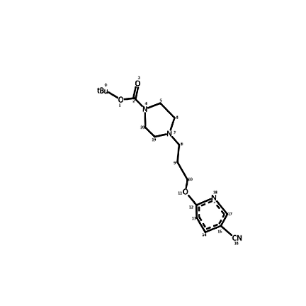 CC(C)(C)OC(=O)N1CCN(CCCOc2ccc(C#N)cn2)CC1